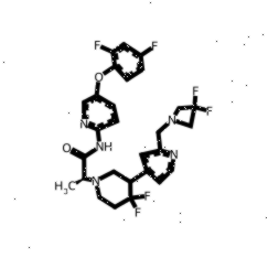 C[C@@H](C(=O)Nc1ccc(Oc2ccc(F)cc2F)cn1)N1CCC(F)(F)C(c2ccnc(CN3CC(F)(F)C3)c2)C1